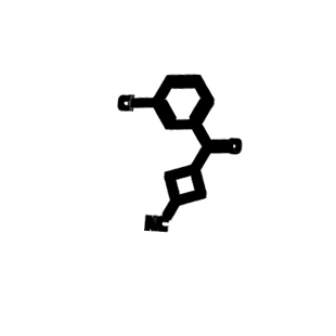 N#CC1CC(C(=O)c2cccc(Cl)c2)C1